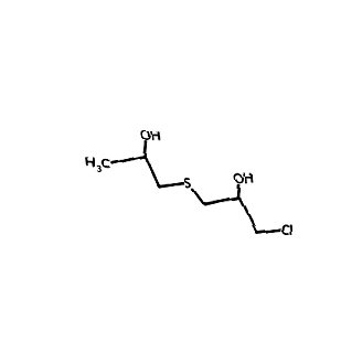 CC(O)CSCC(O)CCl